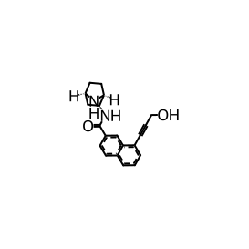 O=C(N[C@@H]1C[C@H]2CC[C@@H]1N2)c1ccc2cccc(C#CCO)c2c1